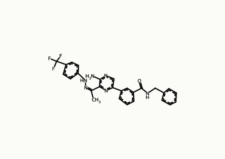 CC(=NNc1ccc(C(F)(F)F)cc1)c1nc(-c2cccc(C(=O)NCc3ccccc3)c2)cnc1N